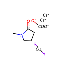 CN1CCCC1=O.O=C([O-])[O-].[Cs+].[Cs+].[I][Cu][I]